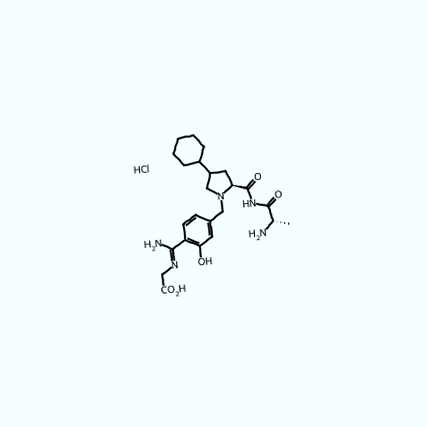 C[C@H](N)C(=O)NC(=O)[C@@H]1CC(C2CCCCC2)CN1Cc1ccc(C(N)=NCC(=O)O)c(O)c1.Cl